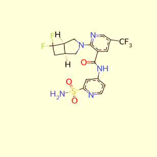 NS(=O)(=O)c1cc(NC(=O)c2cc(C(F)(F)F)cnc2N2C[C@H]3CC(F)(F)[C@H]3C2)ccn1